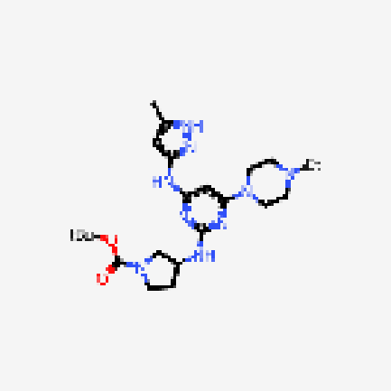 CCN1CCN(c2cc(Nc3cc(C)[nH]n3)nc(N[C@H]3CCN(C(=O)OC(C)(C)C)C3)n2)CC1